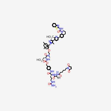 Cc1c(-c2ccc(-c3ccc4c(c3)N(C(=O)Nc3nc5ccccc5s3)CCC4)nc2C(=O)O)cnn1CC12CC3(C)CC(C)(C1)CC(OCCN(C)C(=O)[C@H](CS(=O)(=O)O)NC(=O)OCc1ccc(NC(=O)[C@H](CCCNC(N)=O)NC(=O)C(NC(=O)CCCCCN4C(=O)C=CC4=O)C(C)C)cc1)(C3)C2